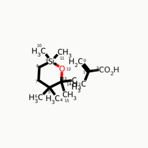 C=C(C)C(=O)O.CC1(C)CC[Si](C)(C)OC1(C)C